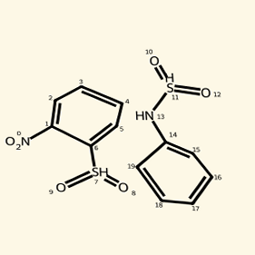 O=[N+]([O-])c1ccccc1[SH](=O)=O.O=[SH](=O)Nc1ccccc1